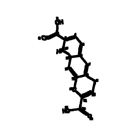 O=C(O)C1=CC=C2C=C3CC=C(C(=O)O)OC3=CC2N1